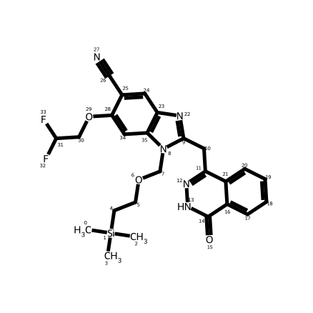 C[Si](C)(C)CCOCn1c(Cc2n[nH]c(=O)c3ccccc23)nc2cc(C#N)c(OCC(F)F)cc21